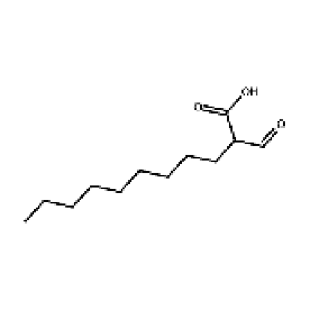 CCCCCCCCCC(C=O)C(=O)O